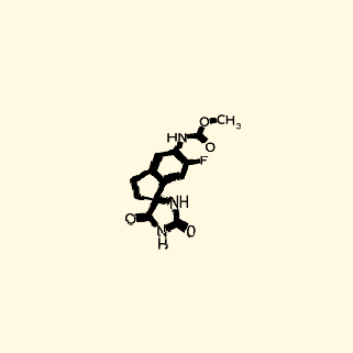 COC(=O)Nc1cc2c(cc1F)[C@]1(CC2)NC(=O)NC1=O